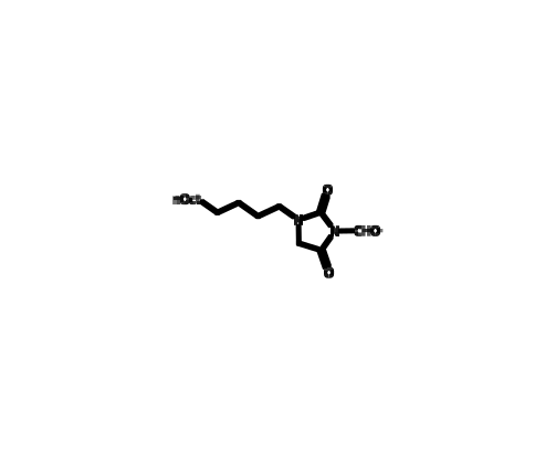 CCCCCCCCCCCCN1CC(=O)N([C]=O)C1=O